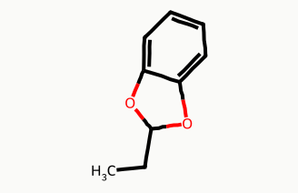 CCC1Oc2ccccc2O1